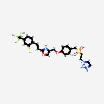 O=S(=O)(CCn1ccnn1)Cc1ccc(OCc2coc(C=Cc3ccc(C(F)(F)F)cc3F)n2)cc1